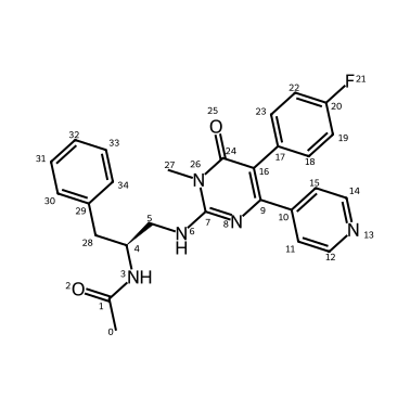 CC(=O)N[C@H](CNc1nc(-c2ccncc2)c(-c2ccc(F)cc2)c(=O)n1C)Cc1ccccc1